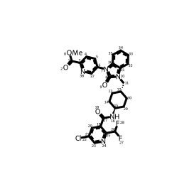 COC(=O)c1ccc(-n2c(=O)n(C[C@H]3CC[C@H](NC(=O)c4cc(Cl)cnc4C(F)F)CC3)c3ccccc32)cn1